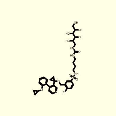 O=C(NCCCCNS(=O)(=O)c1ccc(Cl)c(COC2(c3cnccc3-c3ccccc3OC3CC3)CC2)c1)NCC(O)C(O)C(O)C(O)CO